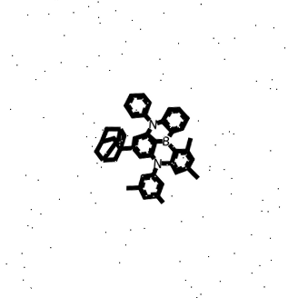 Cc1cc(C)cc(N2c3cc(C)cc(C)c3B3c4ccccc4N(c4ccccc4)c4cc(C56CC7CC(CC(C7)C5)C6)cc2c43)c1